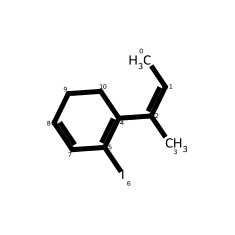 C/C=C(/C)C1=C(I)C=CCC1